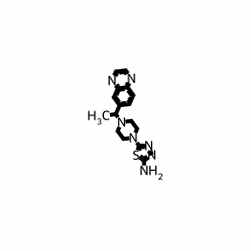 CC(c1ccc2nccnc2c1)N1CCN(c2nnc(N)s2)CC1